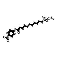 CO[SiH2]CCCCCCCCCCC(=O)Oc1ccc([N+](=O)[O-])cc1